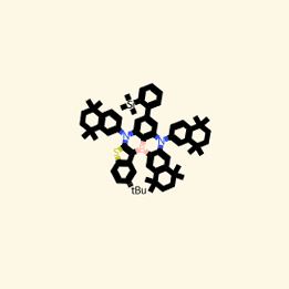 CC(C)(C)c1ccc2sc3c(c2c1)B1c2cc4c(cc2N(c2ccc5c(c2)C(C)(C)CCC5(C)C)c2cc(-c5ccccc5[Si](C)(C)C)cc(c21)N3c1ccc2c(c1)C(C)(C)CCC2(C)C)C(C)(C)CCC4(C)C